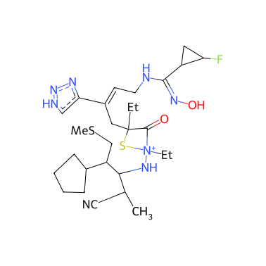 CCC1(CC(=CCNC(=NO)C2CC2F)c2c[nH]nn2)S[N+](CC)(NC(C(C)C#N)C(CSC)C2CCCC2)C1=O